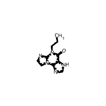 CCCn1c(=O)c2[nH]cnc2n2ccnc12